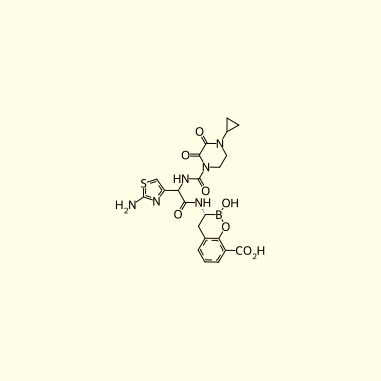 Nc1nc(C(NC(=O)N2CCN(C3CC3)C(=O)C2=O)C(=O)N[C@H]2Cc3cccc(C(=O)O)c3OB2O)cs1